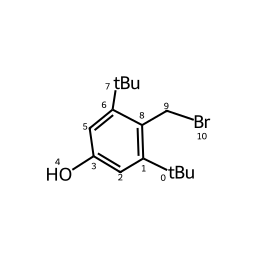 CC(C)(C)c1cc(O)cc(C(C)(C)C)c1CBr